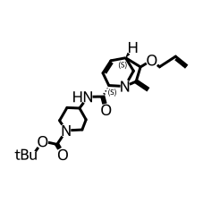 C=CCOC1C(=C)N2C[C@@H]1C=C[C@H]2C(=O)NC1CCN(C(=O)OC(C)(C)C)CC1